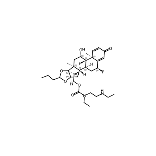 CCCC1O[C@@H]2C[C@H]3[C@@H]4C[C@H](F)C5=CC(=O)C=C[C@]5(C)[C@@]4(F)[C@@H](O)C[C@]3(C)[C@]2(C(=O)COC(=O)N(CC)CCNCC)O1